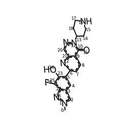 Cn1cc2cc(-c3ccc4c(=O)n(C5CCNCC5)ncc4n3)c(O)c(F)c2n1